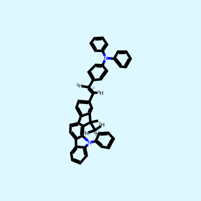 [2H]/C(=C(/[2H])c1ccc2c(c1)C(C)(C([2H])([2H])[2H])c1c-2ccc2c3ccccc3n(-c3ccccc3)c12)c1ccc(N(c2ccccc2)c2ccccc2)cc1